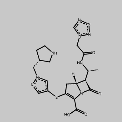 C[C@@H](NC(=O)Cn1cnnn1)[C@H]1C(=O)N2C(C(=O)O)=C(Sc3cnn(C[C@@H]4CCNC4)c3)C[C@H]12